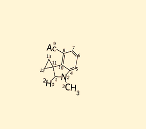 [2H]C1N(C)c2cccc(C(C)=O)c2C12CC2